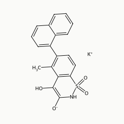 Cc1c(-c2cccc3ccccc23)ccc2c1C(O)=C([O-])NS2(=O)=O.[K+]